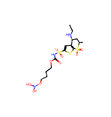 CCN[C@H]1CC(C)S(=O)(=O)c2sc(S(=O)(=O)NC(=O)OCCCCON(O)O)cc21